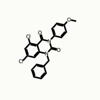 COc1ccc(-n2c(=O)c3c(Cl)cc(Cl)cc3n(Cc3ccccc3)c2=O)cc1